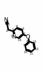 N#C[CH]c1ccc(Oc2ccccc2)cn1